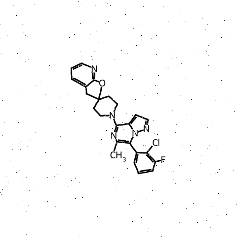 Cc1nc(N2CCC3(CC2)Cc2cccnc2O3)c2ccnn2c1-c1cccc(F)c1Cl